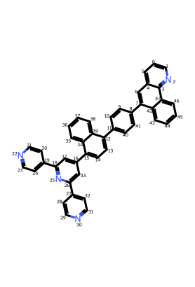 c1cnc2c(c1)cc(-c1ccc(-c3ccc(-c4cc(-c5ccncc5)nc(-c5ccncc5)c4)c4ccccc34)cc1)c1ccccc12